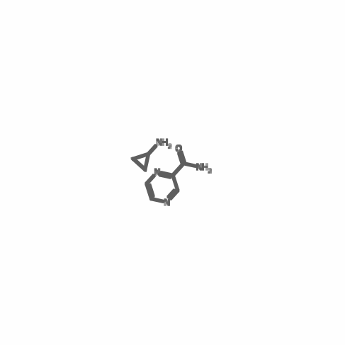 NC(=O)c1cnccn1.NC1CC1